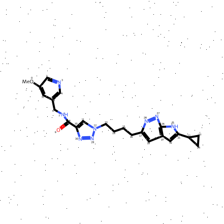 COc1cncc(CNC(=O)c2cn(CCCCc3cc4cc(C5CC5)[nH]c4nn3)nn2)c1